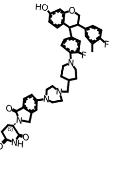 Cc1cc(C2COc3cc(O)ccc3C2c2ccc(N3CCC(CN4CCN(c5ccc6c(c5)CN([C@H]5CCC(=O)NC5=O)C6=O)CC4)CC3)c(F)c2)ccc1F